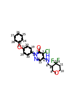 O=c1c(Cl)c(NC[C@@H]2COCCC2(F)F)cnn1-c1ccc(Oc2ccccc2)cc1